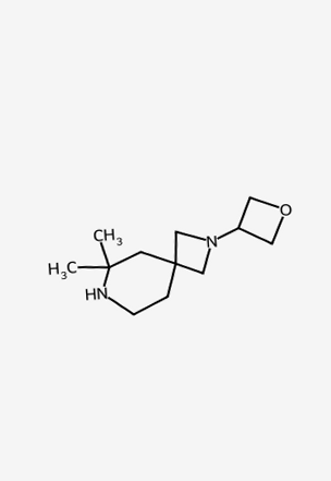 CC1(C)CC2(CCN1)CN(C1COC1)C2